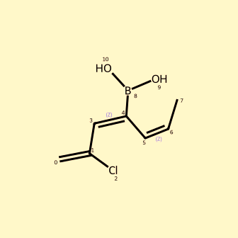 C=C(Cl)/C=C(\C=C/C)B(O)O